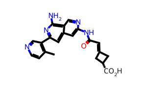 Cc1ccncc1-c1cc2cc(NC(=O)C=C3CC(C(=O)O)C3)ncc2c(N)n1